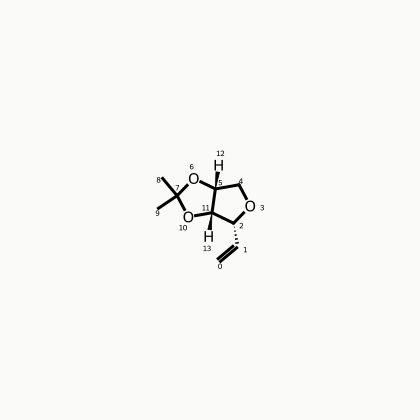 C=C[C@H]1OC[C@H]2OC(C)(C)O[C@@H]12